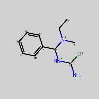 CCN(C)C(NC(N)Cl)c1ccccc1